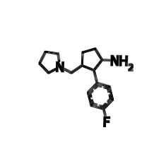 NC1CCC(CN2CCCC2)C1c1ccc(F)cc1